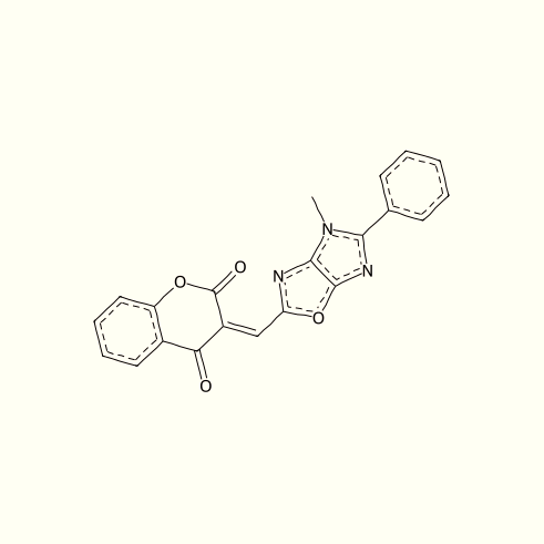 Cn1c(-c2ccccc2)nc2oc(/C=C3\C(=O)Oc4ccccc4C3=O)nc21